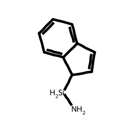 N[SiH2]C1C=Cc2ccccc21